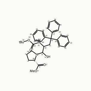 COC(=O)[C@@H]1CCCN1C(S)C(CC(c1ccccc1)(c1ccccc1)c1ccccc1)NC(=O)OC(C)(C)C